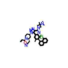 C=CC(=O)N1CCC(n2nnc3c(N4CC(C)(N(C)C)C4)nc4c(F)c(-c5cccc6cccc(Cl)c56)c(C)cc4c32)C[C@H]1CC#N